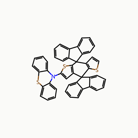 c1ccc2c(c1)Sc1ccccc1N2c1cc2c(s1)C1(c3ccccc3-c3ccccc31)c1ccsc1C21c2ccccc2-c2ccccc21